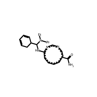 CCN(C(C)C)C(Nc1ccccc(C(N)=O)cncn1)C1C=CC=CC1